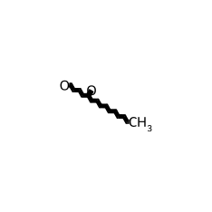 CCCCCCCCCCC(=O)CCCC=O